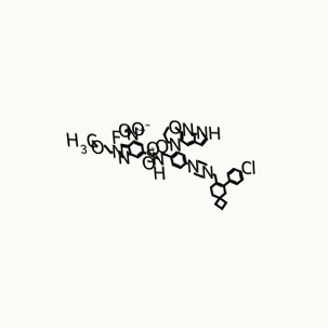 COCCn1nc2cc(S(=O)(=O)NC(=O)c3ccc(N4CCN(CC5=C(c6ccc(Cl)cc6)CC6(CCC6)CC5)CC4)cc3N3CCCOc4nc5[nH]ccc5cc43)cc([N+](=O)[O-])c2c1F